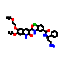 COCCOc1cc2cc(C(=O)Nc3cc(C(=O)N[C@H](CCN)c4ccccc4)ccc3Cl)c(=O)[nH]c2cc1OC